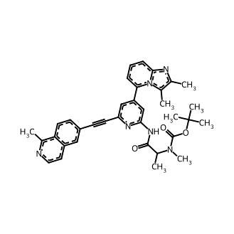 Cc1nc2cccc(-c3cc(C#Cc4ccc5c(C)nccc5c4)nc(NC(=O)C(C)N(C)C(=O)OC(C)(C)C)c3)n2c1C